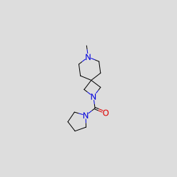 CN1CCC2(CC1)CN(C(=O)N1CCCC1)C2